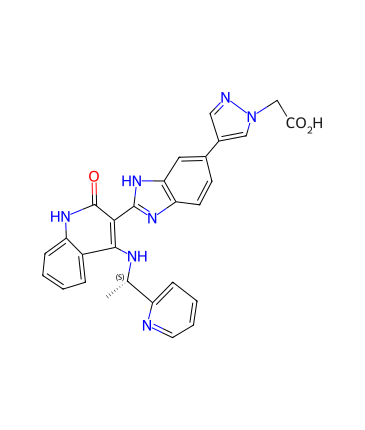 C[C@H](Nc1c(-c2nc3ccc(-c4cnn(CC(=O)O)c4)cc3[nH]2)c(=O)[nH]c2ccccc12)c1ccccn1